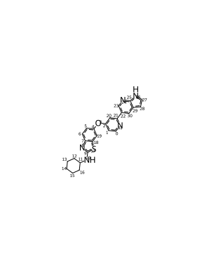 c1cc(Oc2ccc3nc(NC4CCCCC4)sc3c2)cc(-c2cnc3[nH]ccc3c2)n1